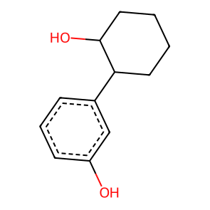 Oc1cccc(C2CCCCC2O)c1